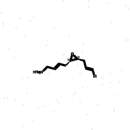 CCC=CC[C@@H]1O[C@H]1CC=CCCCCCCCC